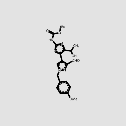 COc1ccc(Cn2cc(-c3nc(NC(=O)OC(C)(C)C)sc3C(C)O)c(C=O)n2)cc1